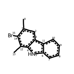 Cc1cc2c([nH]c3ccccc32)c(C)c1Br